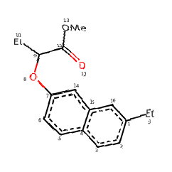 CCc1ccc2ccc(OC(CC)C(=O)OC)cc2c1